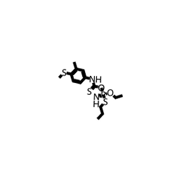 CCCSP(=N)(OCC)OC(=S)Nc1ccc(SC)c(C)c1